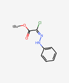 CC(C)(C)OC(=O)/C(Cl)=N\Nc1ccccc1